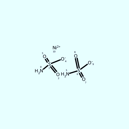 NS(=O)(=O)[O-].NS(=O)(=O)[O-].[Ni+2]